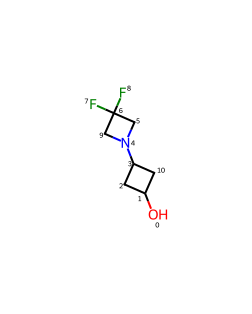 OC1CC(N2CC(F)(F)C2)C1